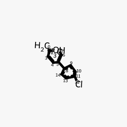 C=C(O)/C=C\C(=C/C)c1ccc(Cl)cc1